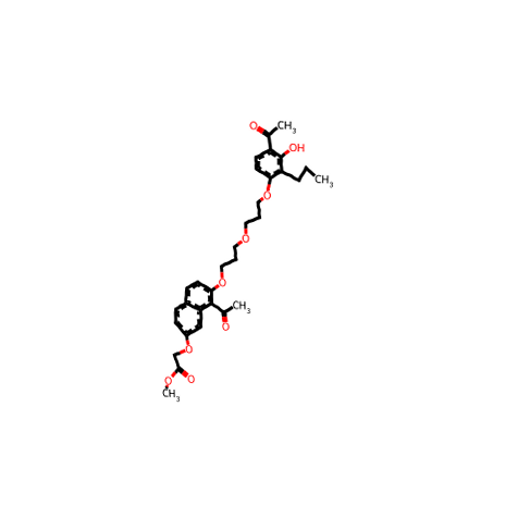 CCCc1c(OCCCOCCCOc2ccc3ccc(OCC(=O)OC)cc3c2C(C)=O)ccc(C(C)=O)c1O